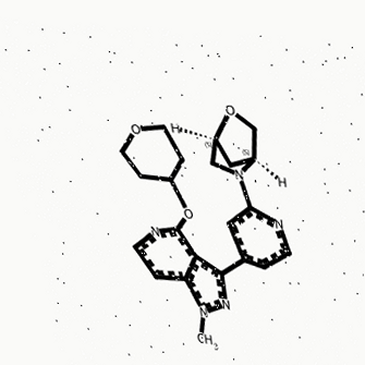 Cn1nc(-c2ccnc(N3C[C@@H]4C[C@H]3CO4)c2)c2c(OC3CCOCC3)nccc21